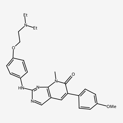 CCN(CC)CCOc1ccc(Nc2ncc3cc(-c4ccc(OC)cc4)c(=O)n(C)c3n2)cc1